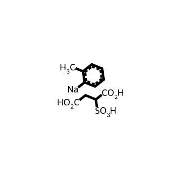 Cc1cccc[c]1[Na].O=C(O)CC(C(=O)O)S(=O)(=O)O